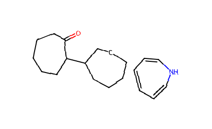 C1=CC=CNC=C1.O=C1CCCCCC1C1CCCCCC1